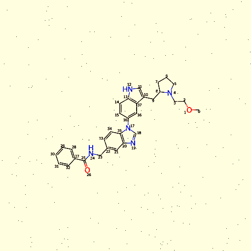 COCCN1CCCC1Cc1c[nH]c2ccc(-n3cnc4cc(CNC(=O)c5ccccc5)ccc43)cc12